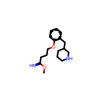 COC(=N)CCCOc1ccccc1CC1CCCNC1